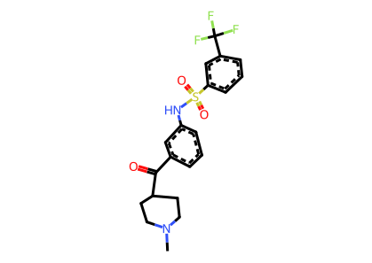 CN1CCC(C(=O)c2cccc(NS(=O)(=O)c3cccc(C(F)(F)F)c3)c2)CC1